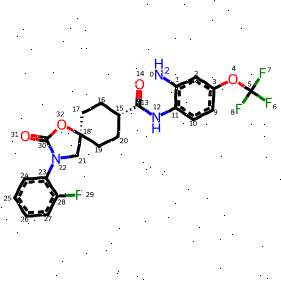 Nc1cc(OC(F)(F)F)ccc1NC(=O)[C@H]1CC[C@]2(CC1)CN(c1ccccc1F)C(=O)O2